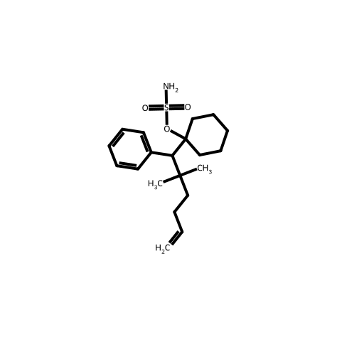 C=CCCC(C)(C)C(c1ccccc1)C1(OS(N)(=O)=O)CCCCC1